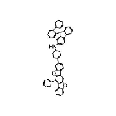 C1=CCC2C(=C1)C1(c3ccccc3-c3ccc(NC4C=CC(c5ccc6c(c5)oc5c(-c7ccccc7)c7c(cc56)oc5ccccc57)=CC4)cc31)c1ccccc12